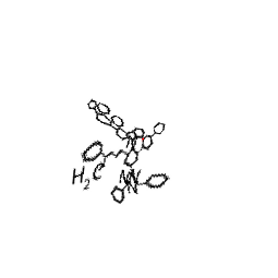 C=C/C(=C\C=C\c1cc(-c2nc(-c3ccccc3)nc(-c3ccccc3)n2)cc(-c2ccc(C3C=CC=CC3)cc2)c1-n1c2ccccc2c2c3oc4c(ccc5c6ccccc6oc54)c3ccc21)c1ccccc1